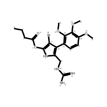 CCCC(=O)Oc1[nH]c(CNC(=N)N)c(-c2ccc(OC)c(OC)c2OC)c1Br